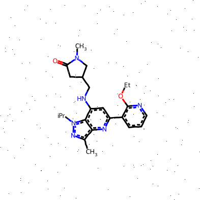 CCOc1ncccc1-c1cc(NCC2CC(=O)N(C)C2)c2c(n1)c(C)nn2C(C)C